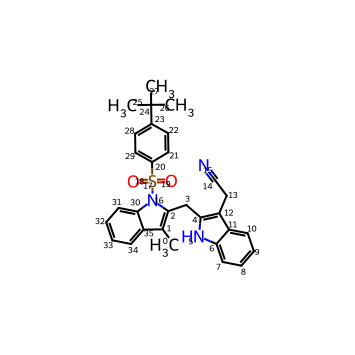 Cc1c(Cc2[nH]c3ccccc3c2CC#N)n(S(=O)(=O)c2ccc(C(C)(C)C)cc2)c2ccccc12